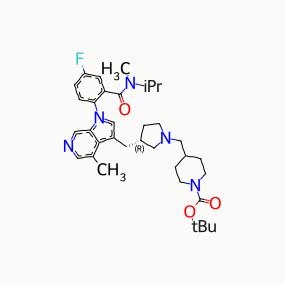 Cc1cncc2c1c(C[C@@H]1CCN(CC3CCN(C(=O)OC(C)(C)C)CC3)C1)cn2-c1ccc(F)cc1C(=O)N(C)C(C)C